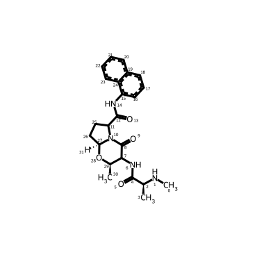 CN[C@@H](C)C(=O)NC1C(=O)N2C(C(=O)Nc3cccc4ccccc34)CC[C@@H]2O[C@@H]1C